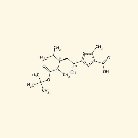 Cc1sc([C@H](O)C[C@H](C(C)C)N(C)C(=O)OC(C)(C)C)nc1C(=O)O